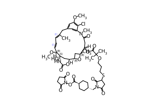 COc1cc2cc(c1Cl)N(C)C(=O)C[C@H](OC(=O)C(C)(C)OCCCSC1CC(=O)N(C[C@H]3CC[C@H](C(=O)ON4C(=O)CCC4=O)CC3)C1=O)[C@@]1(C)C[C@@H](O1)C1C[C@@](O)(NC(=O)O1)[C@H](OC)/C=C/C=C(\C)C2